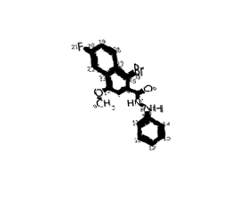 COc1cc(C(=O)NNc2ccccc2)c(Br)c2ccc(F)cc12